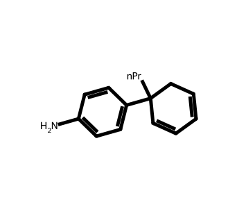 CCCC1(c2ccc(N)cc2)C=CC=CC1